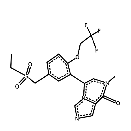 CCS(=O)(=O)Cc1ccc(OCC(F)(F)F)c(-c2cn(C)c(=O)c3cncn23)c1